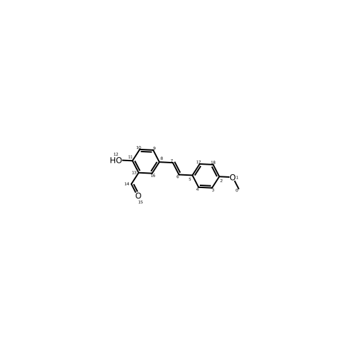 COc1ccc(/C=C/c2ccc(O)c(C=O)c2)cc1